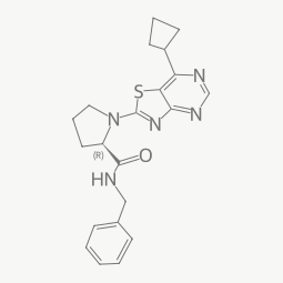 O=C(NCc1ccccc1)[C@H]1CCCN1c1nc2ncnc(C3CCC3)c2s1